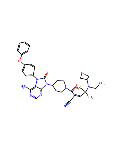 CCN(C1COC1)C(C)(C)/C=C(/C#N)C(=O)N1CCC(n2c(=O)n(-c3ccc(Oc4ccccc4)cc3)c3c(N)ncnc32)CC1